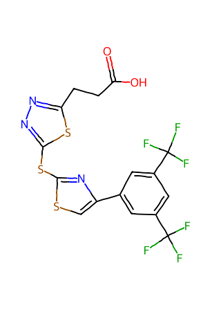 O=C(O)CCc1nnc(Sc2nc(-c3cc(C(F)(F)F)cc(C(F)(F)F)c3)cs2)s1